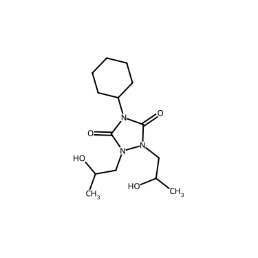 CC(O)Cn1c(=O)n(C2CCCCC2)c(=O)n1CC(C)O